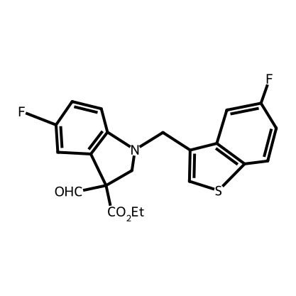 CCOC(=O)C1(C=O)CN(Cc2csc3ccc(F)cc23)c2ccc(F)cc21